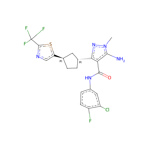 Cn1nc([C@@H]2CC[C@@H](c3cnc(C(F)(F)F)s3)C2)c(C(=O)Nc2ccc(F)c(Cl)c2)c1N